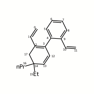 C=CC1=C(c2ccccc2C=C)C=CC(CC)(CCC)C1